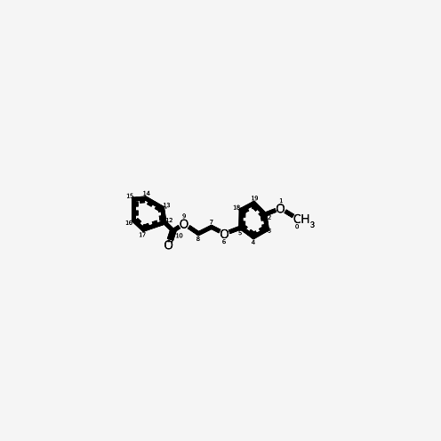 COc1ccc(OCCOC(=O)c2[c]cccc2)cc1